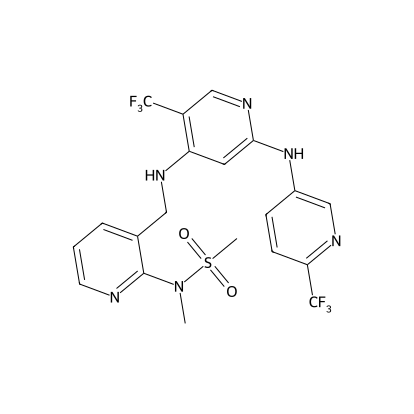 CN(c1ncccc1CNc1cc(Nc2ccc(C(F)(F)F)nc2)ncc1C(F)(F)F)S(C)(=O)=O